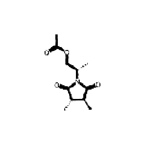 CC(=O)OC[C@H](C)N1C(=O)[C@@H](C)[C@H](C)C1=O